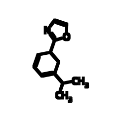 CC(C)C1=CC=CC(c2ncco2)C1